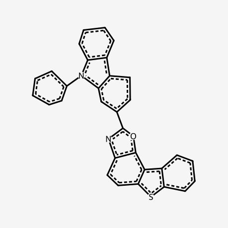 c1ccc(-n2c3ccccc3c3ccc(-c4nc5ccc6sc7ccccc7c6c5o4)cc32)cc1